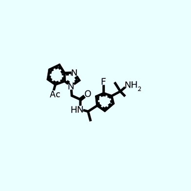 CC(=O)c1cccc2ncn(CC(=O)NC(C)c3ccc(C(C)(C)N)c(F)c3)c12